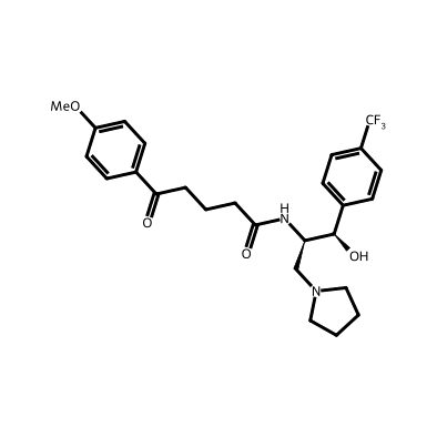 COc1ccc(C(=O)CCCC(=O)N[C@H](CN2CCCC2)[C@H](O)c2ccc(C(F)(F)F)cc2)cc1